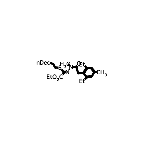 CCCCCCCCCCCCSC(=NN(C)C(=O)Cc1c(CC)cc(C)cc1CC)C(=O)OCC